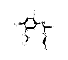 Cc1cc(F)c(NC(=O)OC=CCl)cc1SCC(F)(F)F